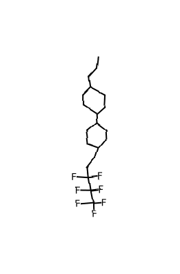 CCCC1CCC(C2CCC(CCC(F)(F)C(F)(F)C(F)(F)F)CC2)CC1